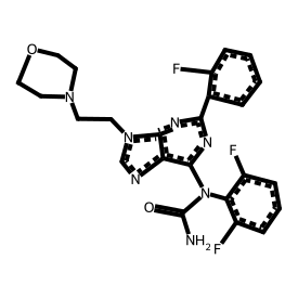 NC(=O)N(c1c(F)cccc1F)c1nc(-c2ccccc2F)nc2c1ncn2CCN1CCOCC1